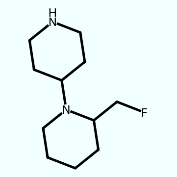 FCC1CCCCN1C1CCNCC1